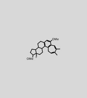 COc1cc2c(c3c1C=C(C)C(C)=CC3)C1CCC3(F)C(OC)CCC3C1CC2